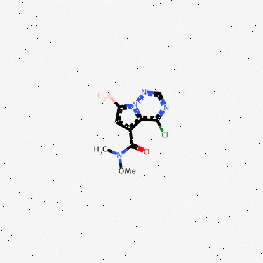 Bc1cc(C(=O)N(C)OC)c2c(Cl)ncnn12